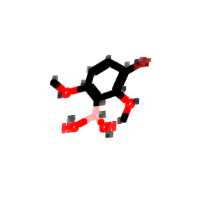 COc1ccc(Br)c(OC)c1B(O)O